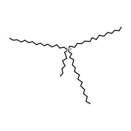 CCCCCCCCCCCCCCC[N+](CCCCCCC)(CCCCCCCCCCCCCCC)CCCCCCCCCCCCCCC